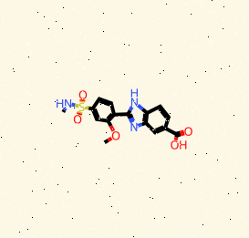 CNS(=O)(=O)c1ccc(-c2nc3cc(C(=O)O)ccc3[nH]2)c(OC)c1